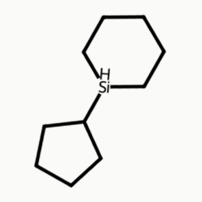 C1CC[SiH](C2CCCC2)CC1